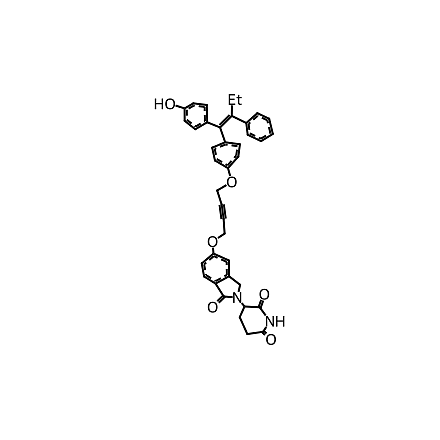 CC/C(=C(\c1ccc(O)cc1)c1ccc(OCC#CCOc2ccc3c(c2)CN(C2CCC(=O)NC2=O)C3=O)cc1)c1ccccc1